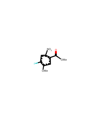 COC(=O)c1cc(OC)c(F)cc1[N+](=O)[O-]